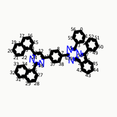 c1ccc(-c2nc(-c3ccc(-c4cc(-c5cccc6ccccc56)nc(-c5cccc6ccccc56)n4)cc3)nc3c4ccccc4c(-c4ccccc4)n23)cc1